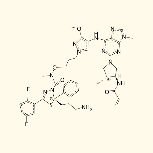 C=CC(=O)N[C@@H]1CN(c2nc(Nc3cn(CCCON(C)C(=O)N4N=C(c5cc(F)ccc5F)S[C@@]4(CCCN)c4ccccc4)nc3OC)c3ncn(C)c3n2)C[C@H]1F